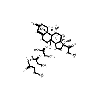 CCC(=O)O.CCC(=O)O.CCCC(=O)O.C[C@]12CCC(=O)C=C1CC[C@@H]1[C@@H]2[C@@H](O)C[C@@]2(C)[C@H]1CC[C@]2(O)C(=O)CO